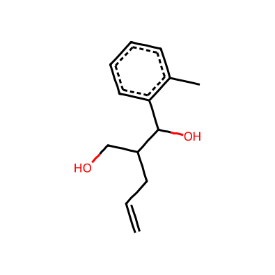 C=CCC(CO)C(O)c1ccccc1C